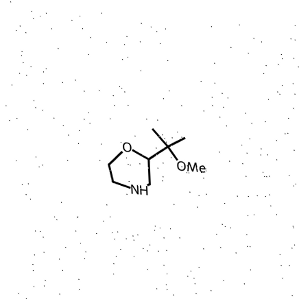 COC(C)(C)C1CNCCO1